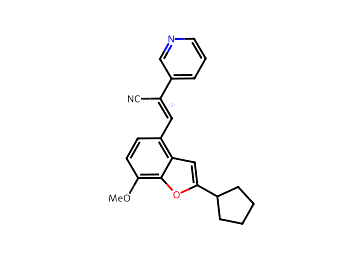 COc1ccc(/C=C(\C#N)c2cccnc2)c2cc(C3CCCC3)oc12